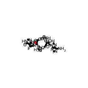 Nc1ncnc2c1ncn2[C@@H]1OC2COP(=O)(S)O[C@@H]3[C@H](O)C(COP(=O)(S)O[C@H]2[C@H]1O)O[C@H]3n1cc(F)c2c(=O)[nH]cnc21